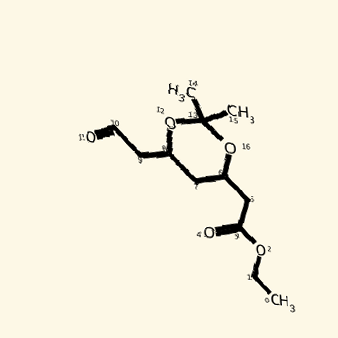 CCOC(=O)CC1CC(CC=O)OC(C)(C)O1